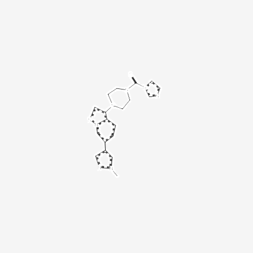 Cn1cc(-c2ccc3c(N4CCN(C(=S)n5ccnc5)CC4)cnn3c2)cn1